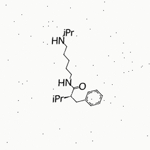 CC(C)NCCCCCNC(=O)[C@@H](Cc1ccccc1)C(C)C